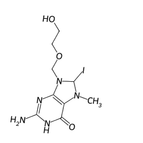 CN1c2c(nc(N)[nH]c2=O)N(COCCO)C1I